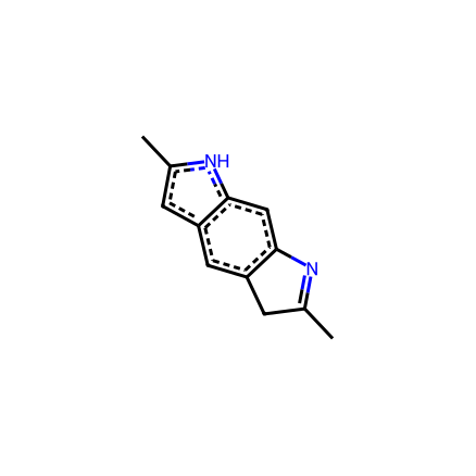 CC1=Nc2cc3[nH]c(C)cc3cc2C1